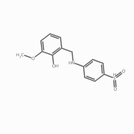 COc1cccc(CNc2ccc([SH](=O)=O)cc2)c1O